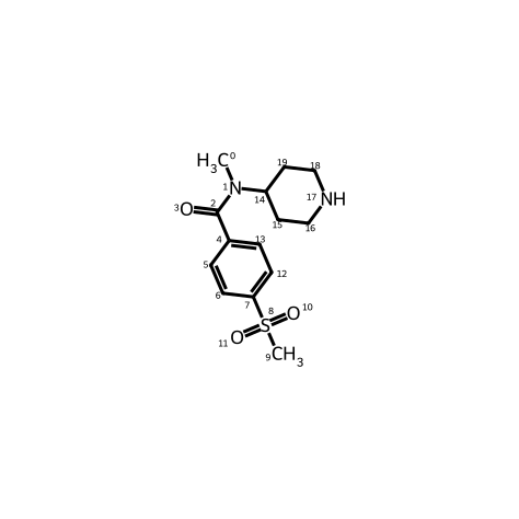 CN(C(=O)c1ccc(S(C)(=O)=O)cc1)C1CCNCC1